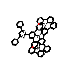 c1ccc(-c2cc(-c3ccccc3)nc(-c3cc(-c4ccccc4)c(-n4c5cc(-n6c7ccccc7c7ccccc76)c(-c6ccccc6)cc5c5cc(-c6ccccc6)c(-n6c7ccccc7c7ccccc76)cc54)c(-c4ccccc4)c3)n2)cc1